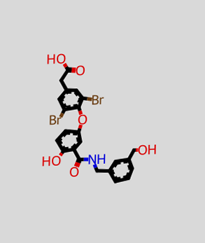 O=C(O)Cc1cc(Br)c(Oc2ccc(O)c(C(=O)NCc3cccc(CO)c3)c2)c(Br)c1